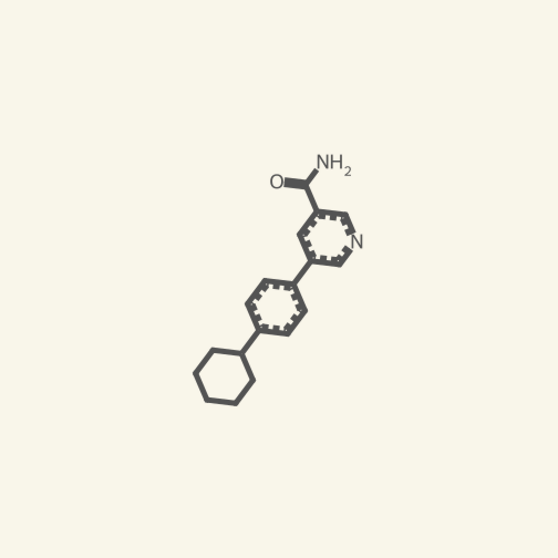 NC(=O)c1cncc(-c2ccc(C3CCCCC3)cc2)c1